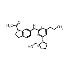 CCCc1cc(N2CCC[C@H]2CO)nc(Nc2ccc3c(c2)N(C(C)=O)CC3)n1